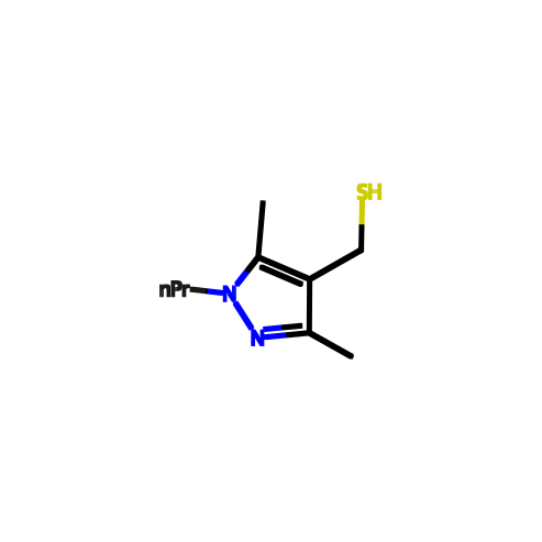 CCCn1nc(C)c(CS)c1C